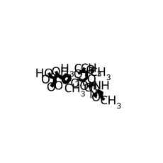 CO[C@@H]1[C@H](OC(=O)Nc2cc(C)on2)[C@@H](O)[C@H](Oc2ccc3c(O)c(C(=O)O)c(=O)oc3c2C)OC1(C)C